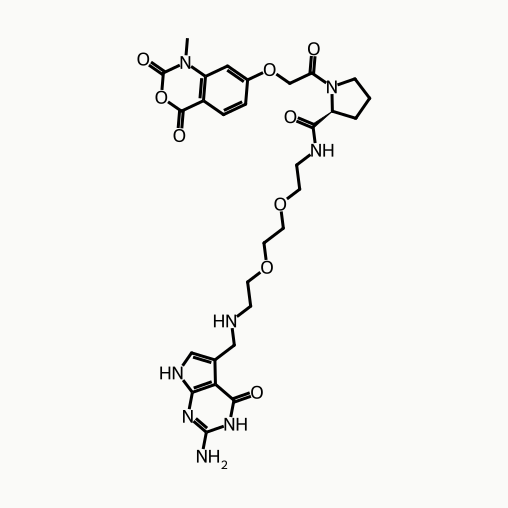 Cn1c(=O)oc(=O)c2ccc(OCC(=O)N3CCC[C@H]3C(=O)NCCOCCOCCNCc3c[nH]c4nc(N)[nH]c(=O)c34)cc21